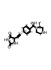 C[C@H]1CNCCN1C(=N)C1=CC[C@@H](C#CC2NC(=O)NC2=O)C=C1